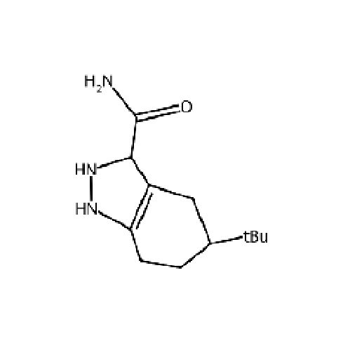 CC(C)(C)C1CCC2=C(C1)C(C(N)=O)NN2